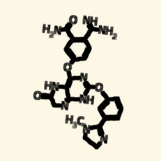 CN1CCN=C1c1cccc(OC2=NC(Oc3ccc(C(=N)N)c(C(N)=O)c3)=C3NC(=O)CN=C3N2)c1